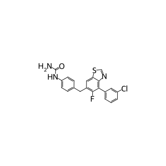 NC(=O)Nc1ccc(Cc2cc3scnc3c(-c3cccc(Cl)c3)c2F)cc1